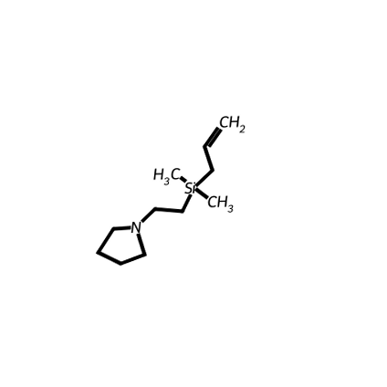 C=CC[Si](C)(C)CCN1CCCC1